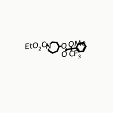 CCOC(=O)N1CCCC(OC(=O)C(OC)(c2ccccc2)C(F)(F)F)CC1